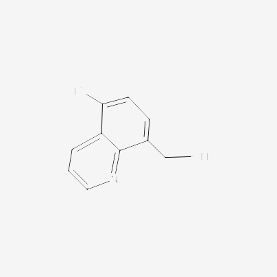 OCc1ccc(O)c2cccnc12